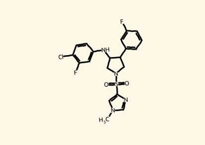 Cn1cnc(S(=O)(=O)N2CC(Nc3ccc(Cl)c(F)c3)C(c3cccc(F)c3)C2)c1